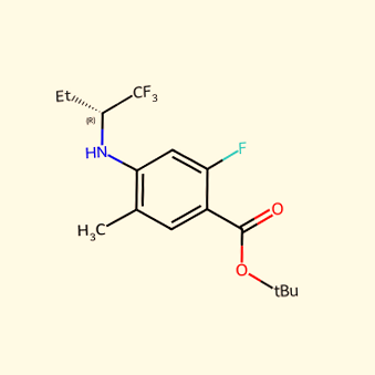 CC[C@@H](Nc1cc(F)c(C(=O)OC(C)(C)C)cc1C)C(F)(F)F